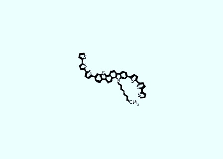 CCCCCCCCn1c2cc(-c3ccc(-c4ccc(-c5cccs5)s4)s3)ccc2c2ccc3c(ccc4c5ccc(-c6ccc(-c7ccc(-c8cccs8)s7)s6)cc5sc43)c21